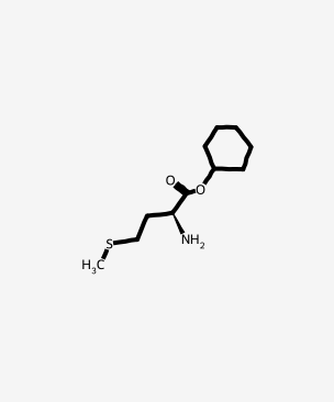 CSCC[C@H](N)C(=O)OC1CCCCC1